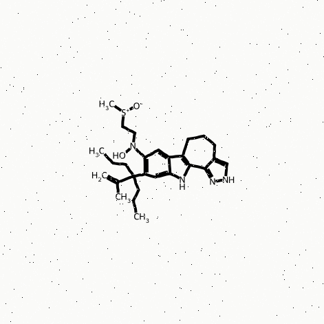 C=C(C)C(CCC)(CCC)c1cc2[nH]c3c(c2cc1N(O)CC[S+](C)[O-])CCCc1c[nH]nc1-3